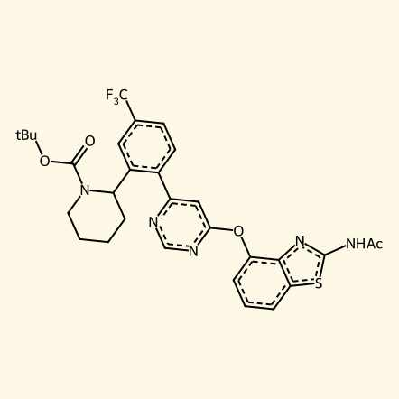 CC(=O)Nc1nc2c(Oc3cc(-c4ccc(C(F)(F)F)cc4C4CCCCN4C(=O)OC(C)(C)C)ncn3)cccc2s1